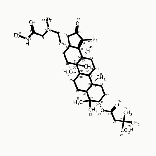 CCNC(=O)CN(CC[C@@]12CC[C@]3(C)[C@H](CCC4[C@@]5(C)CC[C@H](OC(=O)CC(C)(C)C(=O)O)C(C)(C)C5CC[C@]43C)C1=C(C(C)C)C(=O)C2)C(C)C